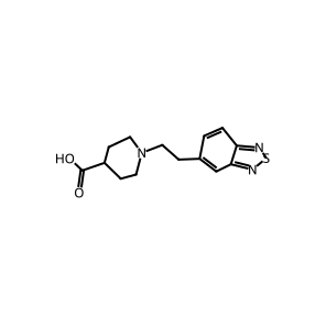 O=C(O)C1CCN(CCc2ccc3nsnc3c2)CC1